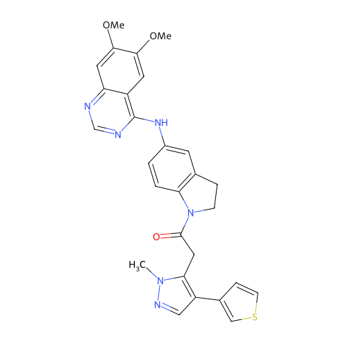 COc1cc2ncnc(Nc3ccc4c(c3)CCN4C(=O)Cc3c(-c4ccsc4)cnn3C)c2cc1OC